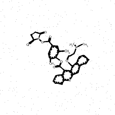 Cc1cc(C(=O)ON2C(=O)CCC2=O)cc(C)c1OC(=O)c1c2ccccc2nc2cc3ccccc3c(OCCN(C)C)c12